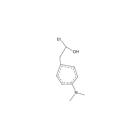 CCC(O)Cc1ccc(N(C)C)cc1